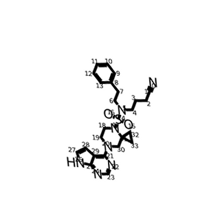 N#CCCCN(CCc1ccccc1)S(=O)(=O)N1CCN(c2ncnc3[nH]ccc23)CC12CC2